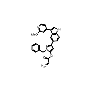 C=CC(=O)Nc1cc(-c2cnc3[nH]cc(-c4ccnc(OC)c4)c3c2)nn1Cc1ccccc1